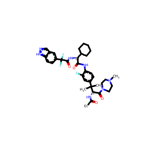 CCC(=O)N[C@@H](C(=O)N1CCN(C)CC1)C(C)(C)c1ccc(NC(=O)[C@@H](NC(=O)C(F)(F)c2ccc3[nH]ncc3c2)C2CCCCC2)c(F)c1